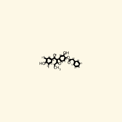 CCc1oc2cc(OC(=O)Cc3ccccc3)c(O)cc2c1C(=O)c1cc(I)c(O)c(I)c1